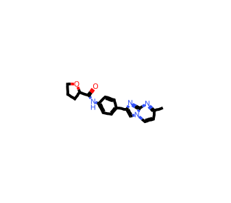 Cc1ccn2cc(-c3ccc(NC(=O)C4CCCO4)cc3)nc2n1